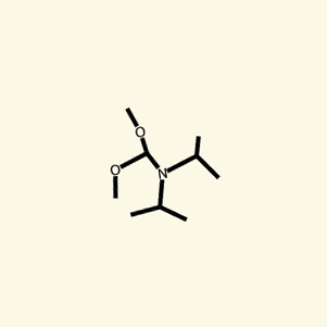 COC(OC)N(C(C)C)C(C)C